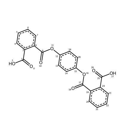 O=C(O)c1ccccc1C(=O)Oc1ccc(OC(=O)c2ccccc2C(=O)O)cc1